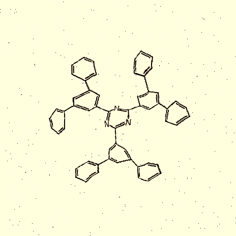 c1ccc(-c2cc(-c3ccccc3)cc(-c3nc(-c4cc(-c5ccccc5)cc(-c5ccccc5)c4)nc(-c4cc(-c5ccccc5)cc(-c5ccccc5)c4)n3)c2)cc1